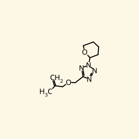 C=C(C)COCc1nnn(C2CCCCO2)n1